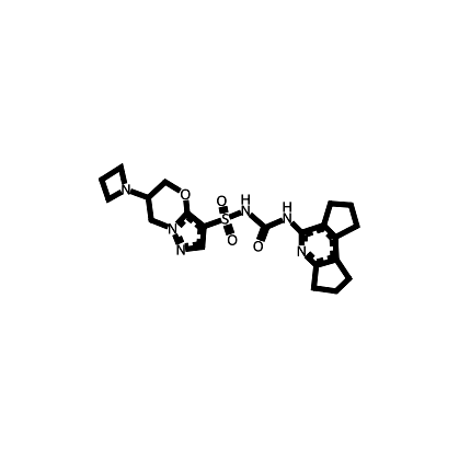 O=C(Nc1nc2c(c3c1CCC3)CCC2)NS(=O)(=O)c1cnn2c1OCC(N1CCC1)C2